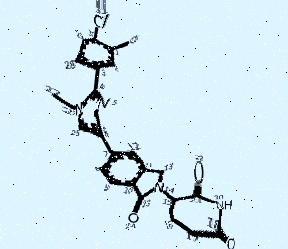 Cc1cc(-c2nc(-c3ccc4c(c3)CN(C3CCC(=O)NC3=O)C4=O)cn2C)ccc1Cl